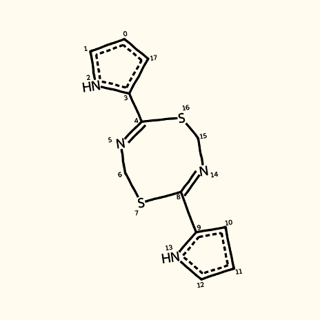 c1c[nH]c(/C2=N/CS/C(c3ccc[nH]3)=N\CS2)c1